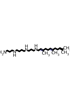 CC(C)=CCC/C(C)=C/CC/C(C)=C/CNCCCNCCCCNCCCN